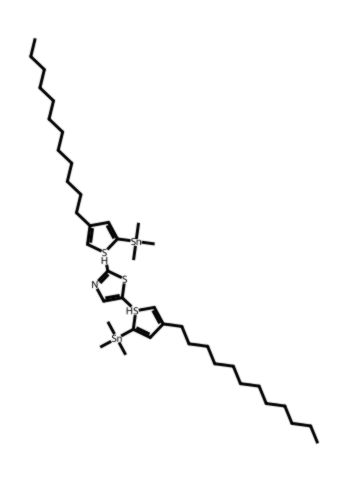 CCCCCCCCCCCCC1=C[SH](c2cnc([SH]3C=C(CCCCCCCCCCCC)C=[C]3[Sn]([CH3])([CH3])[CH3])s2)[C]([Sn]([CH3])([CH3])[CH3])=C1